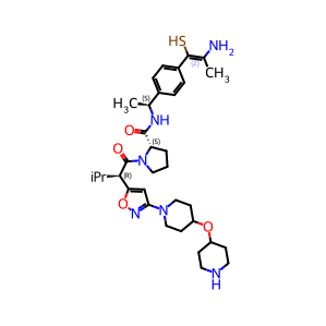 C/C(N)=C(/S)c1ccc([C@H](C)NC(=O)[C@@H]2CCCN2C(=O)[C@@H](c2cc(N3CCC(OC4CCNCC4)CC3)no2)C(C)C)cc1